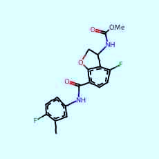 COC(=O)NC1COc2c(C(=O)Nc3ccc(F)c(C)c3)ccc(F)c21